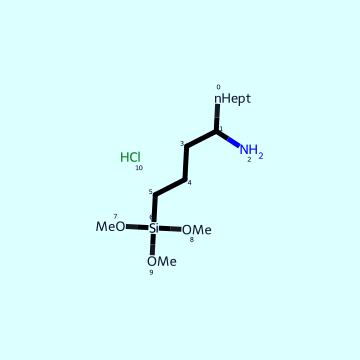 CCCCCCCC(N)CCC[Si](OC)(OC)OC.Cl